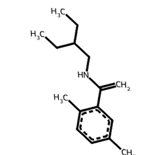 C=C(NCC(CC)CC)c1cc(C)ccc1C